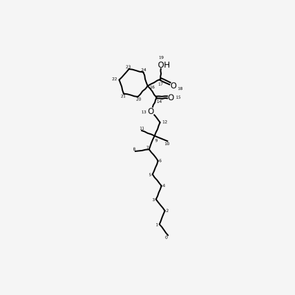 CCCCCCCC(C)C(C)(C)COC(=O)C1(C(=O)O)CCCCC1